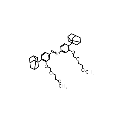 COCCOCOc1cc([Se][Se]c2ccc(C34CC5CC(CC(C5)C3)C4)c(OCOCCOC)c2)ccc1C12CC3CC(CC(C3)C1)C2